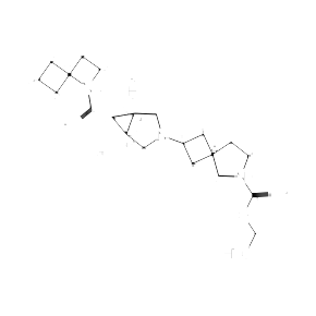 CCOC(=O)N1CCC2(CC(N3C[C@@H]4[C@H](C3)[C@H]4C(=O)N3CCC34CCC4)C2)C1